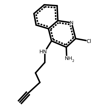 C#CCCCNc1c(N)c(Cl)nc2ccccc12